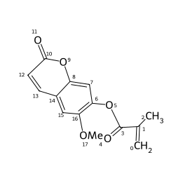 C=C(C)C(=O)Oc1cc2oc(=O)ccc2cc1OC